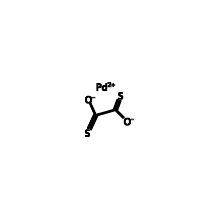 [O-]C(=S)C([O-])=S.[Pd+2]